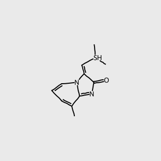 CC1=CC=CN2C(=C[SH](C)C)C(=O)N=C12